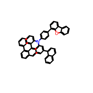 c1ccc(-c2cccc3cccc(-c4ccccc4N(c4ccc(-c5cccc6c5oc5ccccc56)cc4)c4cccc(-c5cccc6ccccc56)c4)c23)cc1